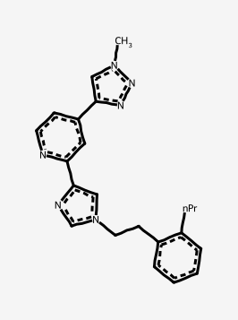 CCCc1ccccc1CCn1cnc(-c2cc(-c3cn(C)nn3)ccn2)c1